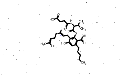 CCCCCc1cc(O)c(C/C=C(\C)CCC=C(C)C)c(OC(=O)C(NC(=O)CCC(=O)O)C(C)C)c1C(=O)O